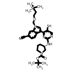 CC(C)(C)OC(=O)N1CCC[C@H](Nc2ncc(S)c(-c3cn(COCC[Si](C)(C)C)c4cc(C#N)ccc34)n2)C1